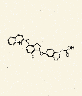 O=C(O)C[C@@H]1COc2cc(O[C@@H]3CCc4c(Oc5ccc6ccccc6n5)ccc(F)c43)ccc21